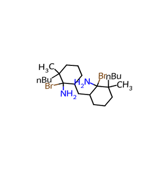 CCCCC1(C)CCCC(CC2CCCC(C)(CCCC)C2(N)Br)C1(N)Br